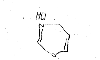 C1=COC=NC1.Cl